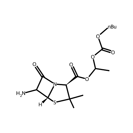 CCCCOC(=O)OC(C)OC(=O)[C@@H]1N2C(=O)C(N)[C@H]2SC1(C)C